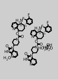 N[C@@H]1c2cccnc2[C@H](OC(=O)N2CCC(n3c(=O)[nH]c4ncccc43)CC2)CC[C@H]1c1cccc(F)c1F.N[C@@H]1c2cccnc2[C@H](OC(=O)N2CCC(n3c(=O)[nH]c4ncccc43)CC2)CC[C@H]1c1cccc(F)c1F.O.O.O.O=S(=O)(O)O